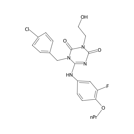 CCCOc1ccc(Nc2nc(=O)n(CCO)c(=O)n2Cc2ccc(Cl)cc2)cc1F